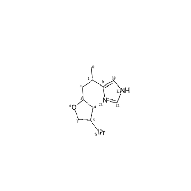 CC(CC1CC(C(C)C)CO1)c1c[nH]cn1